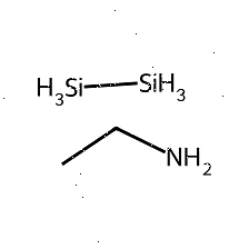 CCN.[SiH3][SiH3]